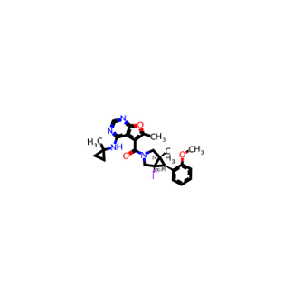 COc1ccccc1[C@H]1[C@]2(I)CN(C(=O)c3c(C)oc4ncnc(NC5(C)CC5)c34)C[C@]12C